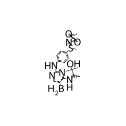 Bc1cnc(Nc2ccc(S(C)=NS(C)(=O)=O)cc2)nc1N[C@H](C)C(C)(C)O